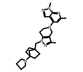 Cc1cc(N2CCc3c(c(C)nn3CC34CCC(N5CCCC5)(CC3)C4)C2)c2cnn(C)c2n1